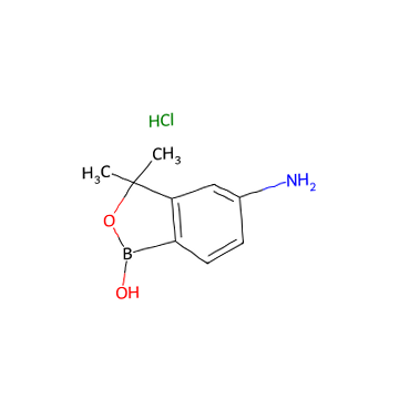 CC1(C)OB(O)c2ccc(N)cc21.Cl